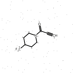 C#CC(=O)N1CCC(C(F)(F)F)CC1